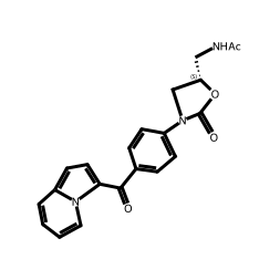 CC(=O)NC[C@H]1CN(c2ccc(C(=O)c3ccc4ccccn34)cc2)C(=O)O1